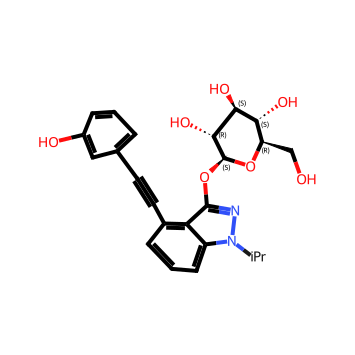 CC(C)n1nc(O[C@@H]2O[C@H](CO)[C@@H](O)[C@H](O)[C@H]2O)c2c(C#Cc3cccc(O)c3)cccc21